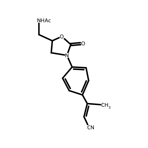 CC(=O)NCC1CN(c2ccc(/C(C)=C/C#N)cc2)C(=O)O1